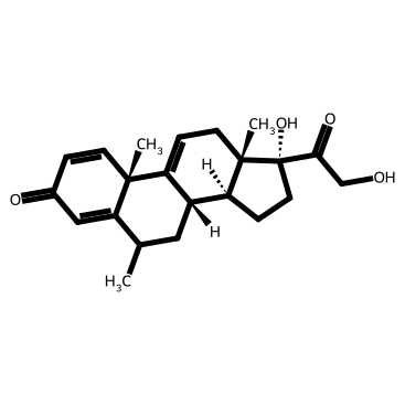 CC1C[C@@H]2C(=CC[C@@]3(C)[C@H]2CC[C@]3(O)C(=O)CO)[C@@]2(C)C=CC(=O)C=C12